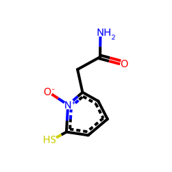 NC(=O)Cc1cccc(S)[n+]1[O-]